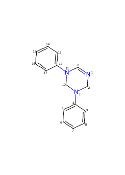 C1=NCN(c2ccccc2)CN1c1ccccc1